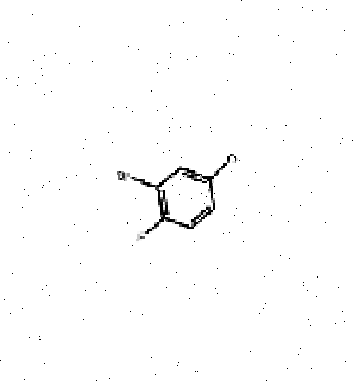 [O]c1ccc(F)c(Br)c1